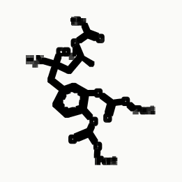 CCCC(C)OC(=O)Oc1ccc(CC(N)(C[C@H](C)OC(=O)C(C)(C)C)C(=O)O)cc1OC(=O)OC(C)CCC